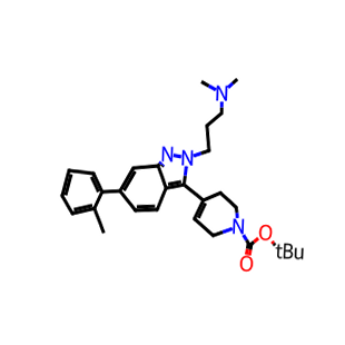 Cc1ccccc1-c1ccc2c(C3=CCN(C(=O)OC(C)(C)C)CC3)n(CCCN(C)C)nc2c1